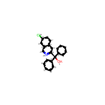 OC(c1ccccc1)(c1ccccc1)c1cc2ccc(Cl)cc2cn1